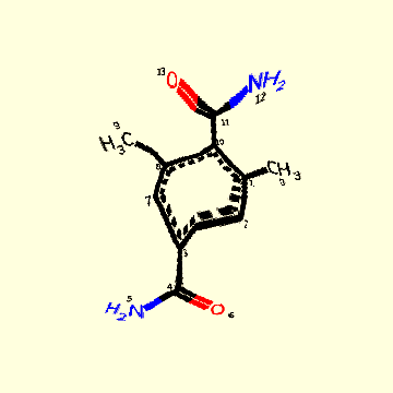 Cc1cc(C(N)=O)cc(C)c1C(N)=O